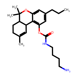 CCCc1cc(OC(=O)NCCCCN)c2c(c1)OC(C)(C)C1CCC(C)=CC21